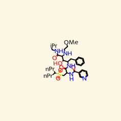 CCCC(CCC)S(=O)(=O)CC(NC(=O)c1cccnc1)C(=O)NC(Cc1ccccc1)C(O)C(NCCOC)C(=O)NCC(C)C